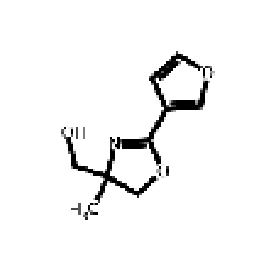 CC1(CO)COC(c2ccoc2)=N1